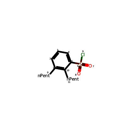 CCCCCc1cccc(S(=O)(=O)Cl)c1CCCCC